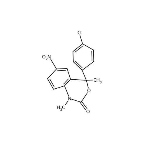 CN1C(=O)OC(C)(c2ccc(Cl)cc2)c2cc([N+](=O)[O-])ccc21